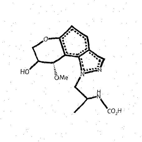 CO[C@H]1c2c(ccc3cnn(CC(C)NC(=O)O)c23)OCC1O